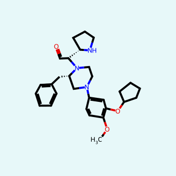 COc1ccc(N2CCN(C(C=O)[C@@H]3CCCN3)[C@@H](Cc3ccccc3)C2)cc1OC1CCCC1